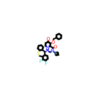 O=C1c2c(OCc3ccccc3)c(=O)ccn2N([C@@H]2c3ccccc3SCc3c2ccc(F)c3F)CN1C1C2CC1C2F